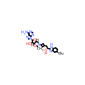 CC1O[C@H]2[C@@H](O)[C@H](n3cnc4c(N)ncnc43)O[C@@H]2CN1C1CC(CC(O)c2nc3cc(C(C)(C)C)ccc3[nH]2)C1